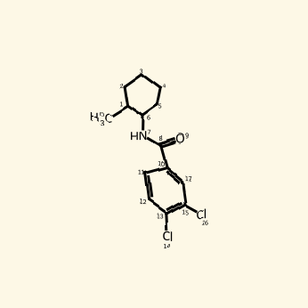 CC1CCCCC1NC(=O)c1ccc(Cl)c(Cl)c1